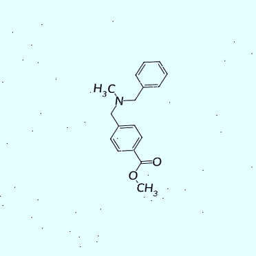 COC(=O)c1ccc(CN(C)Cc2ccccc2)cc1